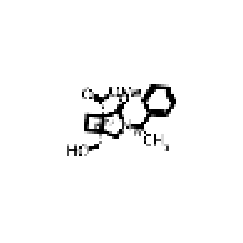 COC(=O)[C@@]12CC[C@]1(CO)CN([C@H](C)c1ccccc1)C2=O